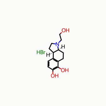 Br.OCCN1CC[C@@H]2c3ccc(O)c(O)c3CC[C@@H]21